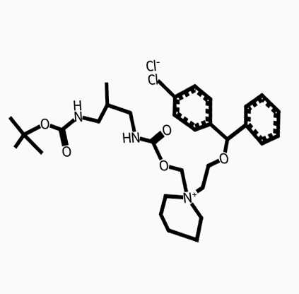 CC(CNC(=O)OC[N+]1(CCOC(c2ccccc2)c2ccc(Cl)cc2)CCCCC1)CNC(=O)OC(C)(C)C.[Cl-]